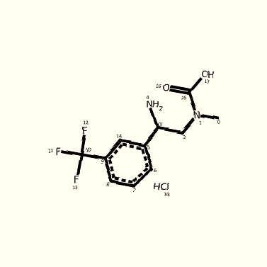 CN(CC(N)c1cccc(C(F)(F)F)c1)C(=O)O.Cl